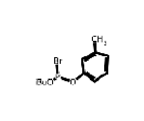 Cc1cccc(OP(Br)OCC(C)C)c1